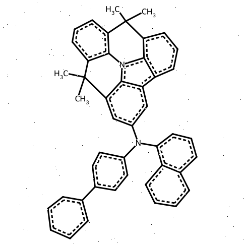 CC1(C)c2cccc3c2-n2c4c1cccc4c1cc(N(c4ccc(-c5ccccc5)cc4)c4cccc5ccccc45)cc(c12)C3(C)C